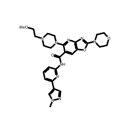 COCCN1CCN(c2nc3nc(N4CCOCC4)oc3cc2C(=O)Nc2cccc(-c3cnn(C)c3)n2)CC1